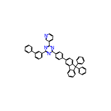 c1ccc(-c2cccc(-c3nc(-c4ccc(-c5ccc6c(c5)-c5ccccc5C6(c5ccccc5)c5ccccc5)cc4)nc(-c4cccnc4)n3)c2)cc1